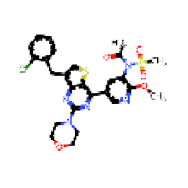 COc1ncc(-c2nc(N3CCOCC3)nc3c(Cc4ccccc4Cl)csc23)cc1N(C(C)=O)S(C)(=O)=O